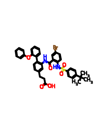 CC(C)(C)c1ccc(S(=O)(=O)Nc2ccc(Br)cc2C(=O)Nc2cc(CCC(=O)O)ccc2-c2ccccc2Oc2ccccc2)cc1